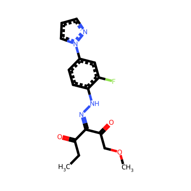 CCC(=O)/C(=N/Nc1ccc(-n2cccn2)cc1F)C(=O)COC